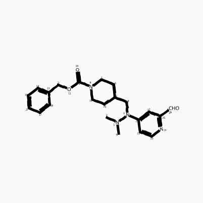 CN(C)N(CC1CCN(C(=O)OCc2ccccc2)CC1)c1ccnc(C=O)c1